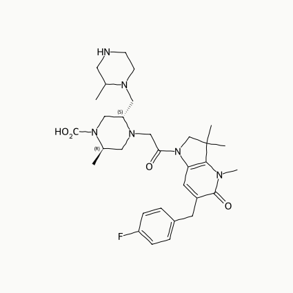 CC1CNCCN1C[C@H]1CN(C(=O)O)[C@H](C)CN1CC(=O)N1CC(C)(C)c2c1cc(Cc1ccc(F)cc1)c(=O)n2C